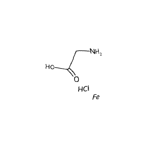 Cl.NCC(=O)O.[Fe]